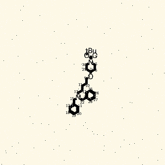 CC(C)(C)OC(=O)N1CCC(OCCCCCN(Cc2ccccc2)Cc2ccccc2)CC1